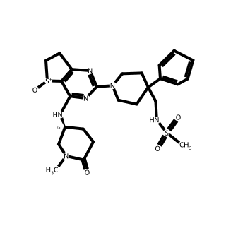 CN1C[C@@H](Nc2nc(N3CCC(CNS(C)(=O)=O)(c4ccccc4)CC3)nc3c2[S+]([O-])CC3)CCC1=O